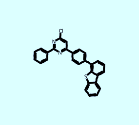 Clc1cc(-c2ccc(-c3cccc4c3sc3ccccc34)cc2)nc(-c2ccccc2)n1